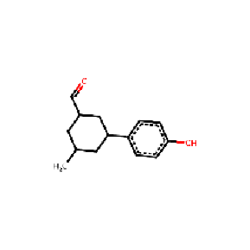 CC1CC(C=O)CC(c2ccc(O)cc2)C1